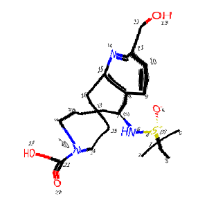 CC(C)(C)[S@@+]([O-])N[C@@H]1c2ccc(CO)nc2CC12CCN(C(=O)O)CC2